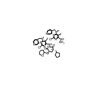 CN(Cc1ccncc1)c1nc(Cl)nc(NN)c1F.CN(Cc1ccncc1)c1nc(Cl)nc(NNC(=O)[C@H](CC2CCCC2)CN(C=O)OC2CCCCO2)c1F